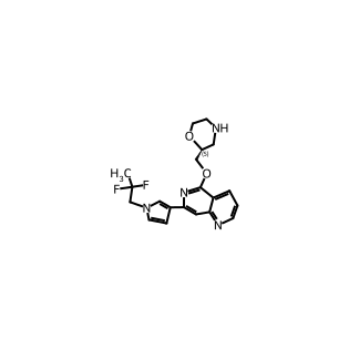 CC(F)(F)Cn1ccc(-c2cc3ncccc3c(OC[C@@H]3CNCCO3)n2)c1